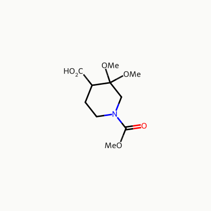 COC(=O)N1CCC(C(=O)O)C(OC)(OC)C1